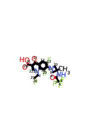 CC1(NC(=O)C(F)(F)F)CN(c2c(F)cc3c(=O)c(C(=O)O)cn(CCF)c3c2F)C1